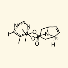 Cc1c(I)ncnc1OC1CC2C=C[C@@H](C1)N2C(=O)OC(C)C